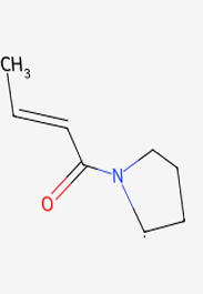 CC=CC(=O)N1[CH]CCC1